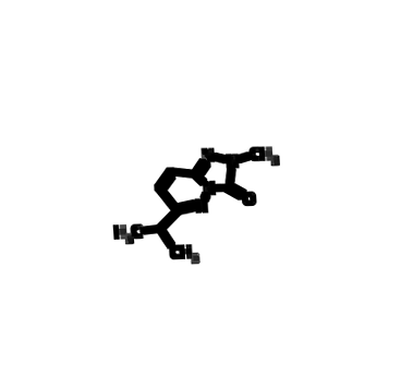 CC(C)c1ccc2nn(C)c(=O)n2n1